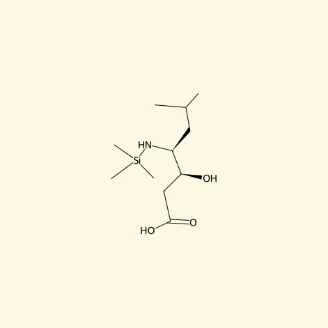 CC(C)C[C@H](N[Si](C)(C)C)[C@@H](O)CC(=O)O